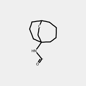 O=[C]NC12CCCCC(CCC1)CC2